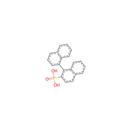 O=P(O)(O)c1ccc2ccccc2c1-c1cccc2ccccc12